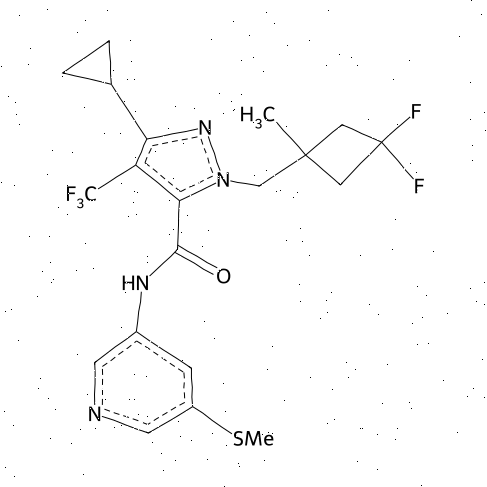 CSc1cncc(NC(=O)c2c(C(F)(F)F)c(C3CC3)nn2CC2(C)CC(F)(F)C2)c1